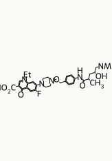 CCn1cc(C(=O)O)c(=O)c2cc(F)c(N3CCN(OCc4ccc(NC(=O)[C@H](C)CC(O)CNC)cc4)CC3)cc21